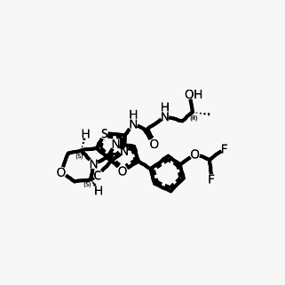 C[C@@H](O)CNC(=O)Nc1nc2c(s1)[C@@H]1COC[C@H](C2)N1c1ncc(-c2cccc(OC(F)F)c2)o1